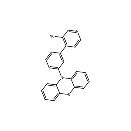 N#Cc1cnccc1-c1cccc(N2c3ccccc3Sc3ccccc32)c1